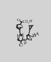 O=C(O)C(=O)c1ccc(-c2ncc(Cl)c(Nc3cc(C4CC4)[nH]n3)n2)s1